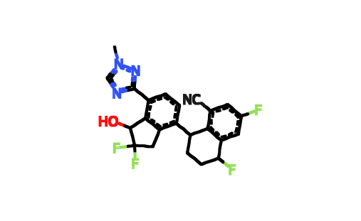 Cn1cnc(-c2ccc(C3CCC(F)c4cc(F)cc(C#N)c43)c3c2C(O)C(F)(F)C3)n1